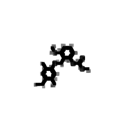 CCc1cc(C)c(OCc2c(OC(=O)OC)cccc2SC)cc1C